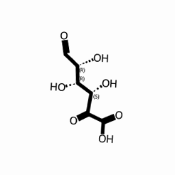 O=C[C@H](O)[C@@H](O)[C@H](O)C(=O)C(=O)O